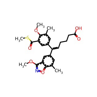 COc1c(C)cc(/C(=C\CCCC(=O)O)c2cc(C)c3onc(OC)c3c2)cc1C(=O)SC